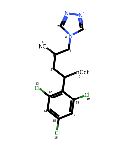 CCCCCCCCC(CC(C#N)Cn1cnnc1)c1c(Cl)cc(Cl)cc1Cl